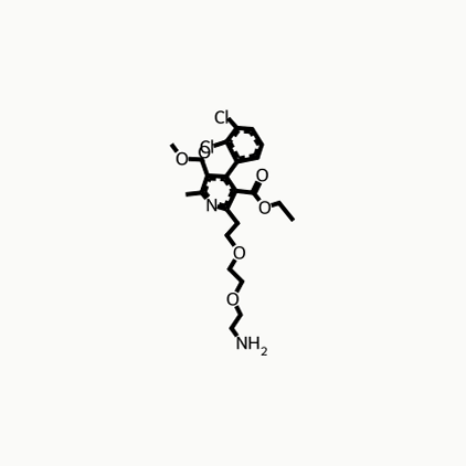 CCOC(=O)c1c(CCOCCOCCN)nc(C)c(C(=O)OC)c1-c1cccc(Cl)c1Cl